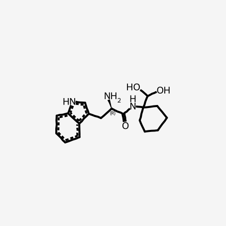 N[C@H](Cc1c[nH]c2ccccc12)C(=O)NC1(C(O)O)CCCCC1